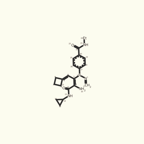 C=NN(/C(C=C1CCC1)=C(\N)C(=O)NC1CC1)c1ccc(C(=O)NCC)cc1